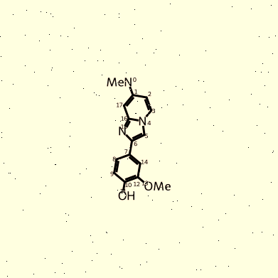 CNc1ccn2cc(-c3ccc(O)c(OC)c3)nc2c1